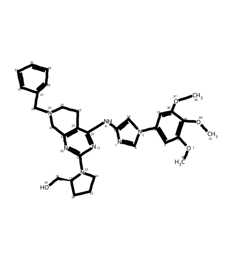 COc1cc(-n2cnc(Nc3nc(N4CCC[C@H]4CO)nc4c3CCN(Cc3ccccc3)C4)c2)cc(OC)c1OC